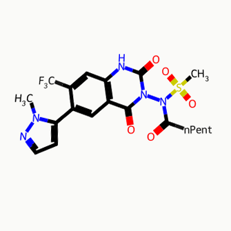 CCCCCC(=O)N(n1c(=O)[nH]c2cc(C(F)(F)F)c(-c3ccnn3C)cc2c1=O)S(C)(=O)=O